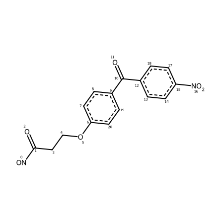 O=NC(=O)CCOc1ccc(C(=O)c2ccc([N+](=O)[O-])cc2)cc1